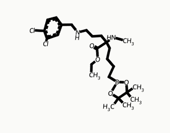 CCOC(=O)C(CCCCB1OC(C)(C)C(C)(C)O1)(CCCNCc1ccc(Cl)c(Cl)c1)NC